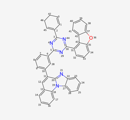 C1=CC(c2nc(-c3cccc(-c4cc5ccccc5n5c4nc4ccccc45)c3)nc(-c3cccc4oc5ccccc5c34)n2)=CCC1